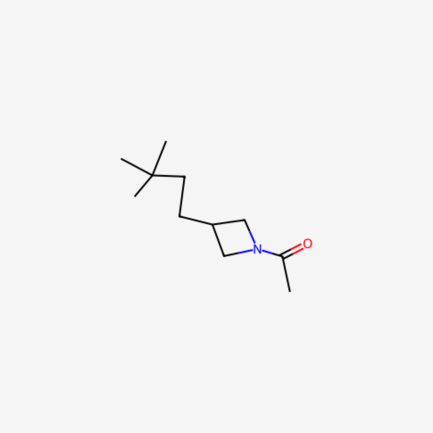 CC(=O)N1CC(CCC(C)(C)C)C1